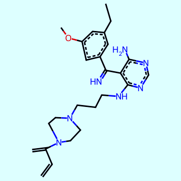 C=CC(=C)N1CCN(CCCNc2ncnc(N)c2C(=N)c2cc(CC)cc(OC)c2)CC1